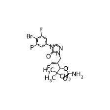 CC(C)(C)C(OC(N)=O)C(=CF)Cn1ncn(-c2cc(F)c(Br)c(F)c2)c1=O